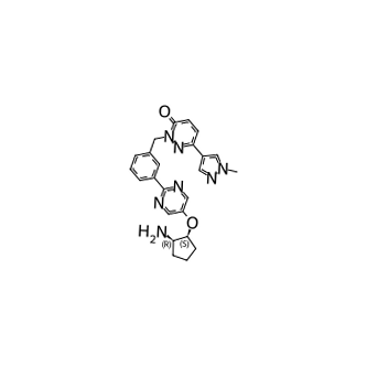 Cn1cc(-c2ccc(=O)n(Cc3cccc(-c4ncc(O[C@H]5CCC[C@H]5N)cn4)c3)n2)cn1